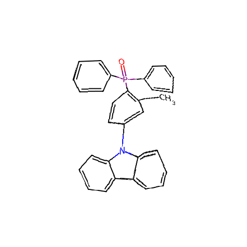 Cc1cc(-n2c3ccccc3c3ccccc32)ccc1P(=O)(c1ccccc1)c1ccccc1